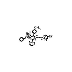 Cc1ccc(-c2c(NS(=O)(=O)C=Cc3ccccc3)nc(-c3ncccn3)nc2OCCOc2ncc(Br)cn2)cc1